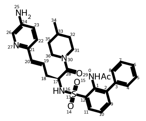 CC(=O)Nc1c(-c2ccccc2)cccc1S(=O)(=O)N[C@@H](CC=Cc1ccc(N)cn1)C(=O)N1CCC(C)CC1